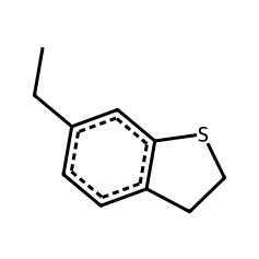 CCc1ccc2c(c1)SCC2